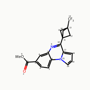 COC(=O)c1ccc2c(c1)nc(C13CC(C(F)(F)F)(C1)C3)c1cccn12